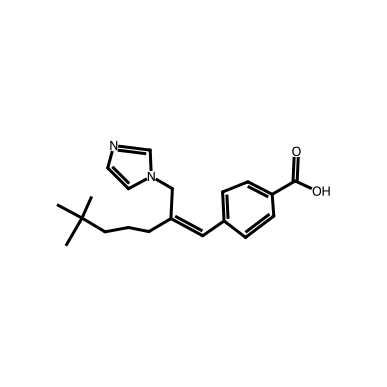 CC(C)(C)CCCC(=Cc1ccc(C(=O)O)cc1)Cn1ccnc1